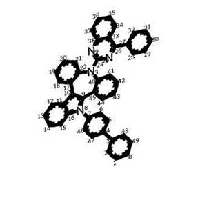 c1ccc(-c2ccc(-n3c4c(c5ccccc53)-c3ccccc3N(c3nc(-c5ccccc5)c5ccccc5n3)c3ccccc3-4)cc2)cc1